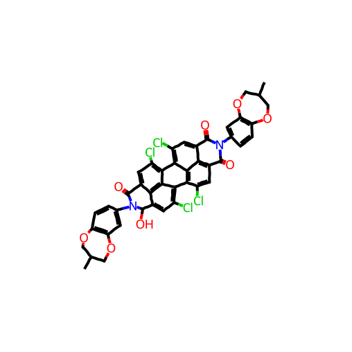 CC1COc2ccc(N3C(=O)c4cc(Cl)c5c6c(Cl)cc7c8c(cc(Cl)c(c9c(Cl)cc(c4c59)C3=O)c86)C(O)N(c3ccc4c(c3)OCC(C)CO4)C7=O)cc2OC1